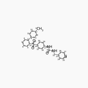 Cc1ccc(-c2ccccc2S(=O)(=O)c2ccc(NC(=O)NCc3ccncc3)cc2)cc1